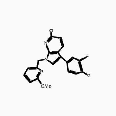 COc1cccc(Cn2cc(-c3ccc(Cl)c(F)c3)c3ccc(Cl)nc32)n1